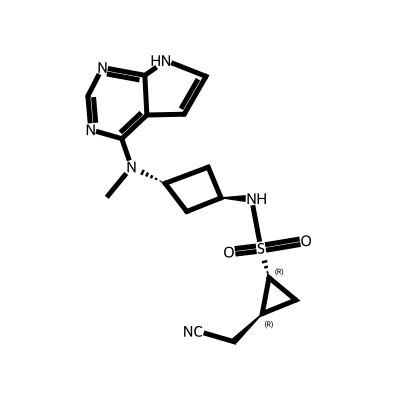 CN(c1ncnc2[nH]ccc12)[C@H]1C[C@H](NS(=O)(=O)[C@@H]2C[C@H]2CC#N)C1